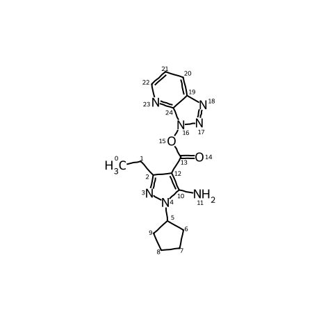 CCc1nn(C2CCCC2)c(N)c1C(=O)On1nnc2cccnc21